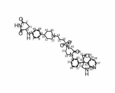 O=C1CCC(Nc2ccc(C3CCN(CCCS(=O)(=O)N4CCN(c5cccc(C6(C7CC7)CNc7nccc(Cl)c76)c5)C(=O)C4)CC3)cc2)C(=O)N1